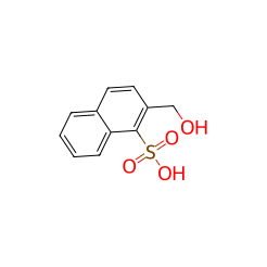 O=S(=O)(O)c1c(CO)ccc2ccccc12